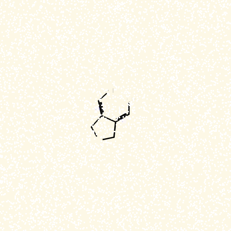 C/C=C1/COC/C1=C/C